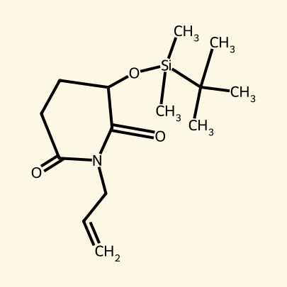 C=CCN1C(=O)CCC(O[Si](C)(C)C(C)(C)C)C1=O